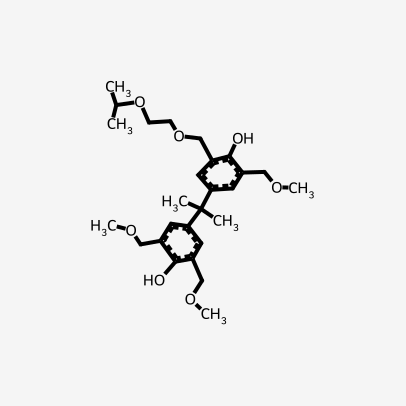 COCc1cc(C(C)(C)c2cc(COC)c(O)c(COCCOC(C)C)c2)cc(COC)c1O